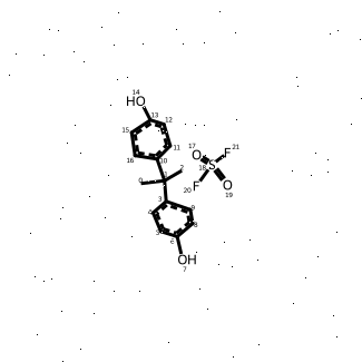 CC(C)(c1ccc(O)cc1)c1ccc(O)cc1.O=S(=O)(F)F